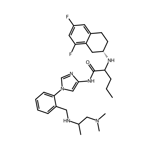 CCCC(N[C@H]1CCc2cc(F)cc(F)c2C1)C(=O)Nc1cn(-c2ccccc2CNC(C)CN(C)C)cn1